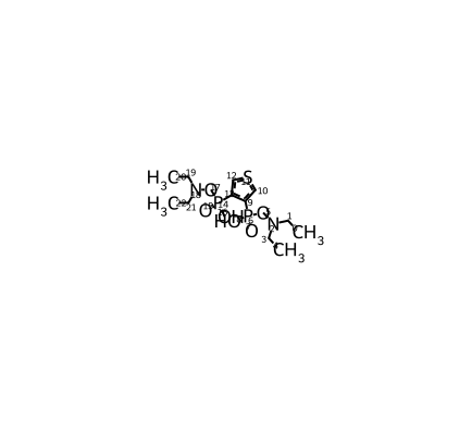 CCN(CC)OP(=O)(O)c1cscc1P(=O)(O)ON(CC)CC